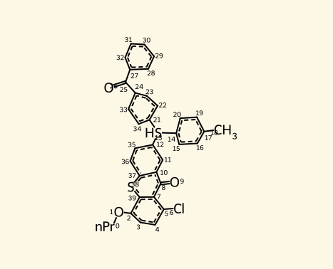 CCCOc1ccc(Cl)c2c(=O)c3cc([SH](c4ccc(C)cc4)c4ccc(C(=O)c5ccccc5)cc4)ccc3sc12